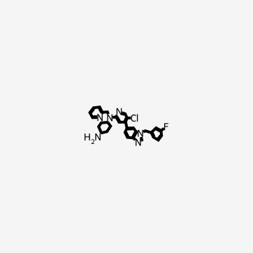 NC1CCC(N(Cc2ccccn2)c2cc(-c3ccc4ncn(Cc5cccc(F)c5)c4c3)c(Cl)cn2)CC1